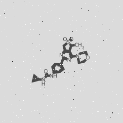 CC1c2c(nc(-c3ccc(NC(=O)NC4CC4)cc3)nc2N2CCOCC2)CS1(=O)=O